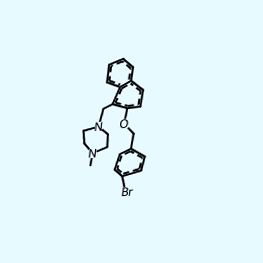 CN1CCN(Cc2c(OCc3ccc(Br)cc3)ccc3ccccc23)CC1